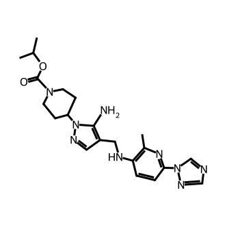 Cc1nc(-n2cncn2)ccc1NCc1cnn(C2CCN(C(=O)OC(C)C)CC2)c1N